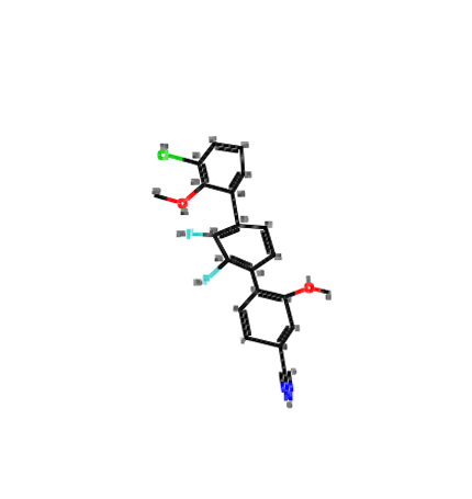 COc1cc(C#N)ccc1-c1ccc(-c2cccc(Cl)c2OC)c(F)c1F